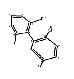 Cc1[c]c(-c2c(F)cccc2F)c(Cl)cc1